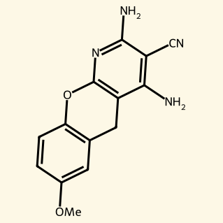 COc1ccc2c(c1)Cc1c(nc(N)c(C#N)c1N)O2